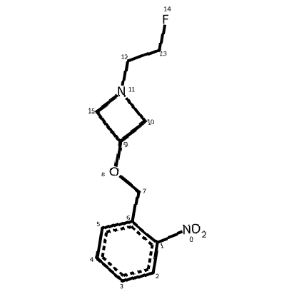 O=[N+]([O-])c1ccccc1COC1CN(CCF)C1